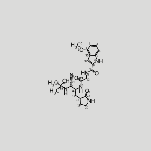 COc1cccc2[nH]c(C(=O)NCC(=O)NC(CC3CCNC3=O)C(C#N)NC(C)(C)C)cc12